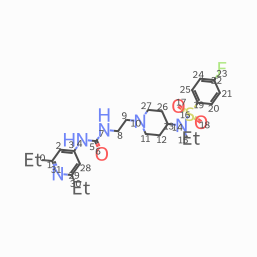 CCc1cc(NC(=O)NCCN2CCC(N(CC)S(=O)(=O)c3ccc(F)cc3)CC2)cc(CC)n1